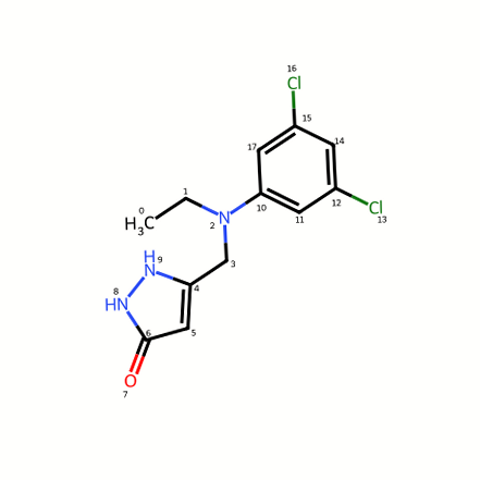 CCN(Cc1cc(=O)[nH][nH]1)c1cc(Cl)cc(Cl)c1